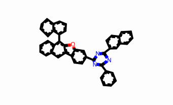 c1ccc(-c2nc(-c3ccc4ccccc4c3)nc(-c3ccc4c(c3)oc3c(-c5cccc6ccccc56)c5ccccc5cc34)n2)cc1